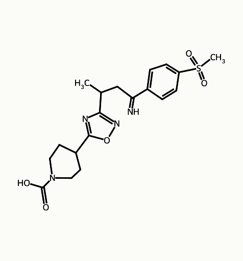 CC(CC(=N)c1ccc(S(C)(=O)=O)cc1)c1noc(C2CCN(C(=O)O)CC2)n1